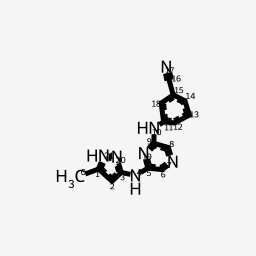 Cc1cc(Nc2cncc(Nc3cccc(C#N)c3)n2)n[nH]1